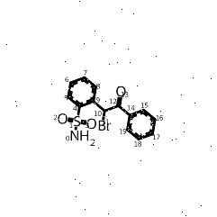 NS(=O)(=O)c1ccccc1C(Br)C(=O)c1ccccc1